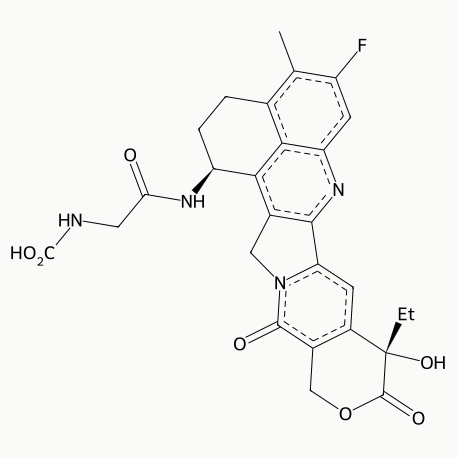 CC[C@@]1(O)C(=O)OCc2c1cc1n(c2=O)Cc2c-1nc1cc(F)c(C)c3c1c2[C@@H](NC(=O)CNC(=O)O)CC3